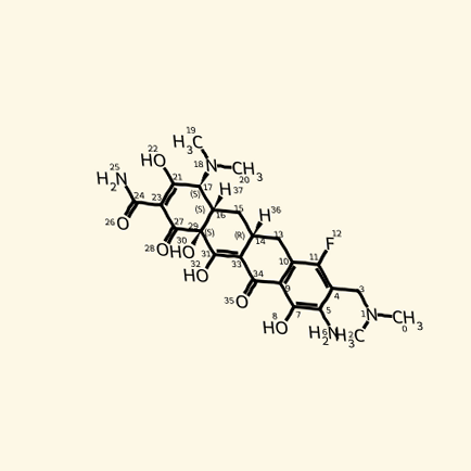 CN(C)Cc1c(N)c(O)c2c(c1F)C[C@H]1C[C@H]3[C@H](N(C)C)C(O)=C(C(N)=O)C(=O)[C@@]3(O)C(O)=C1C2=O